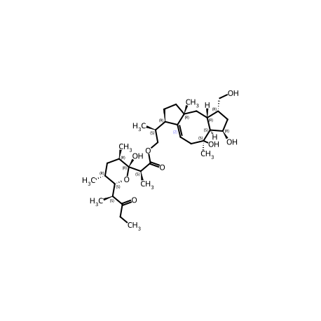 CCC(=O)[C@@H](C)[C@H]1O[C@@](O)([C@H](C)C(=O)OC[C@@H](C)[C@H]2CC[C@]3(C)C[C@@H]4[C@H](CO)C[C@@H](O)[C@H]4[C@@](C)(O)C/C=C/23)[C@H](C)C[C@H]1C